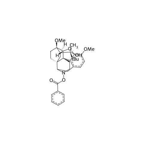 COc1ccc2c3c1O[C@H]1[C@@]4(OC)CC[C@@]5(C[C@@H]4[C@](C)(O)C(C)(C)C)C(C2)N(OC(=O)c2ccccc2)CC[C@]315